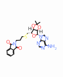 CC1(C)O[C@@H]2[C@H](O1)[C@@H](CSCCCN1C(=O)c3ccccc3C1=O)O[C@H]2n1cnc2c(N)ncnc21